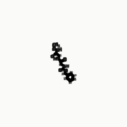 CONC(=O)CNC(=O)CNC(=O)OCc1ccccc1